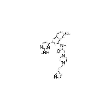 CNc1nccc(-c2cc(NC(=O)CN3CCN(CCn4ccnc4)CC3)c3cc(OC)ccc3c2)n1